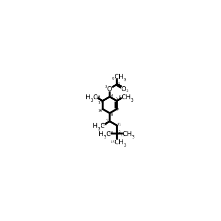 CC(=O)OC1C(C)=CC(C(C)CC(C)(C)C)CC1C